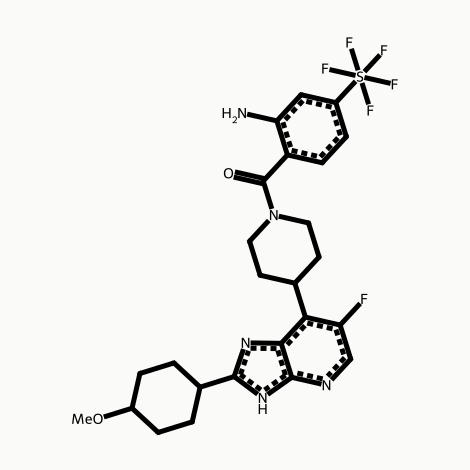 COC1CCC(c2nc3c(C4CCN(C(=O)c5ccc(S(F)(F)(F)(F)F)cc5N)CC4)c(F)cnc3[nH]2)CC1